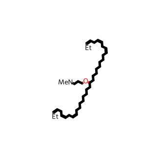 CC/C=C\C/C=C\C/C=C\CCCCCCCCC(CCCCCCCC/C=C\C/C=C\C/C=C\CC)OCCCNC